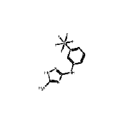 Nc1nc(Nc2cccc(S(F)(F)(F)(F)F)c2)n[nH]1